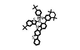 CC(C)(C)c1ccc(Nc2cc3c(cc2-c2ccc4c5cc6c(cc5n5c4c2Bc2sc4ccc(C(C)(C)C)cc4c2-5)sc2ccccc26)C(C)(C)CCC3(C)C)cc1